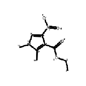 CCOC(=O)c1c([N+](=O)[O-])cn(C)c1C